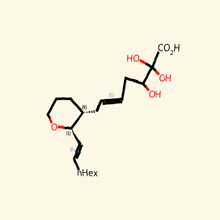 CCCCCC/C=C/[C@H]1OCCC[C@@H]1C/C=C/CC(O)C(O)(O)C(=O)O